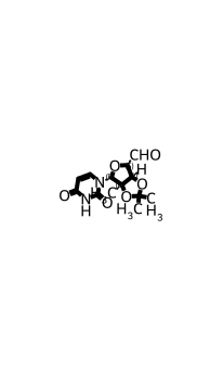 CC1(C)O[C@@H]2[C@@H](C=O)O[C@@H](n3ccc(=O)[nH]c3=O)[C@]2(C)O1